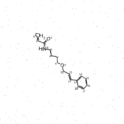 C=CC(=O)NCCCCOC/C=C/c1ccccc1